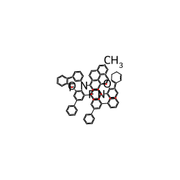 Cc1cc2ccc3c(N(c4c(F)cc(-c5ccccc5)cc4-c4ccccc4)c4cccc5c6c(oc45)CCC=C6)cc(N(c4c(F)cc(-c5ccccc5)cc4-c4ccccc4)c4cccc5c4oc4ccccc45)c4ccc(c1)c2c34